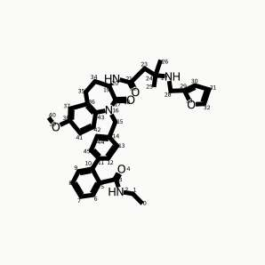 CCNC(=O)c1ccccc1-c1ccc(CN2C(=O)[C@H](NC(=O)CC(C)(C)NCc3ccco3)CCc3cc(OC)ccc32)cc1